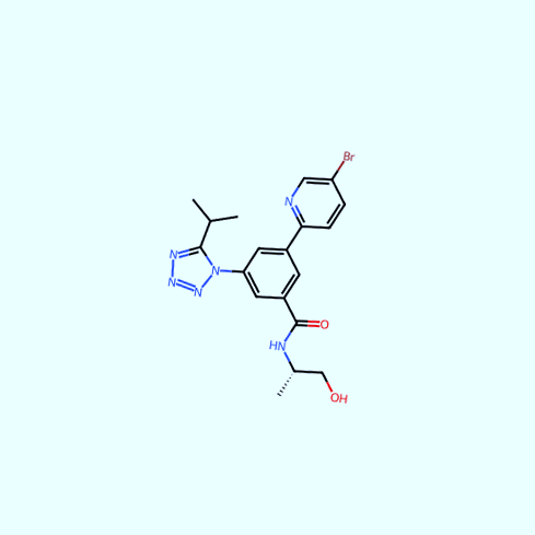 CC(C)c1nnnn1-c1cc(C(=O)N[C@@H](C)CO)cc(-c2ccc(Br)cn2)c1